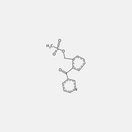 CS(=O)(=O)OCc1ccccc1C(=O)c1cccnc1